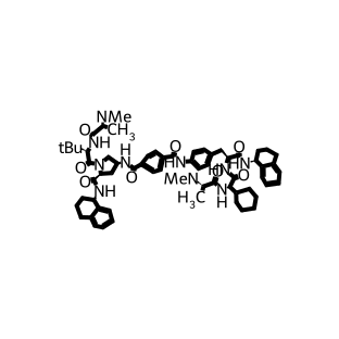 CN[C@@H](C)C(=O)N[C@H](C(=O)N[C@@H](Cc1ccc(NC(=O)c2ccc(C(=O)N[C@H]3C[C@@H](C(=O)N[C@@H]4CCCc5ccccc54)N(C(=O)[C@@H](NC(=O)[C@H](C)NC)C(C)(C)C)C3)cc2)cc1)C(=O)N[C@@H]1CCCc2ccccc21)C1CCCCC1